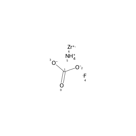 O=C([O-])[O-].[F].[NH4+].[Zr+]